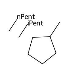 CC1CCCC1.CCCC(C)C.CCCCCC